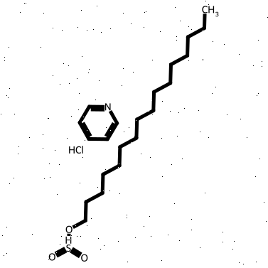 CCCCCCCCCCCCCCCCO[SH](=O)=O.Cl.c1ccncc1